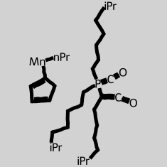 CC(C)CCCCCP(=C=O)(CCCCCC(C)C)C(=C=O)CCCCC(C)C.CC[CH2][Mn][C]1=CC=CC1